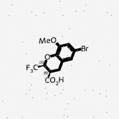 COc1cc(Br)cc2c1O[C@H](C(F)(F)F)[C@H](C(=O)O)C2